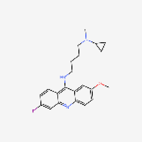 COc1ccc2nc3cc(I)ccc3c(NCCCCN(C)C3CC3)c2c1